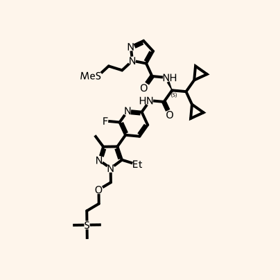 CCc1c(-c2ccc(NC(=O)[C@@H](NC(=O)c3ccnn3CCSC)C(C3CC3)C3CC3)nc2F)c(C)nn1COCCS(C)(C)C